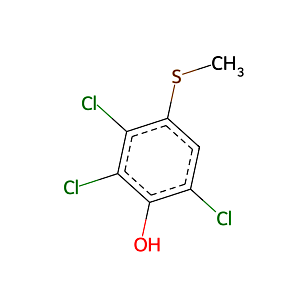 CSc1cc(Cl)c(O)c(Cl)c1Cl